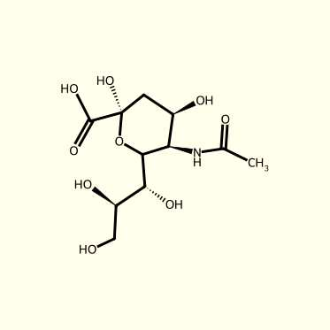 CC(=O)N[C@H]1C([C@H](O)[C@H](O)CO)O[C@@](O)(C(=O)O)C[C@H]1O